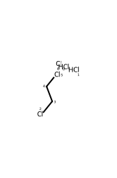 Cl.Cl.ClCCCl.[C]